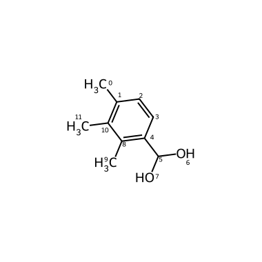 Cc1ccc(C(O)O)c(C)c1C